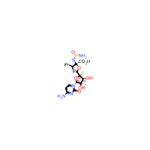 CC(C)C(C(C)C)[C@@](N=[P+](N)[O-])(OC[C@@]1(F)O[C@@H](n2ccc(N)nc2=O)[C@](C)(O)[C@@H]1O)C(=O)O